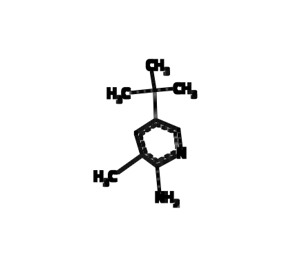 Cc1cc(C(C)(C)C)cnc1N